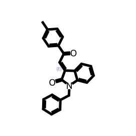 Cc1ccc(C(=O)/C=C2/C(=O)N(Cc3ccccc3)c3ccccc32)cc1